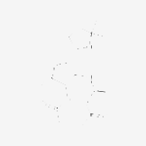 CC(=O)OC1=C(OC(C)OC(C)=O)C(C2COC(C)(C)O2)OC1=O